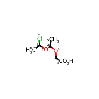 CC(Cl)OC(C)OCC(=O)O